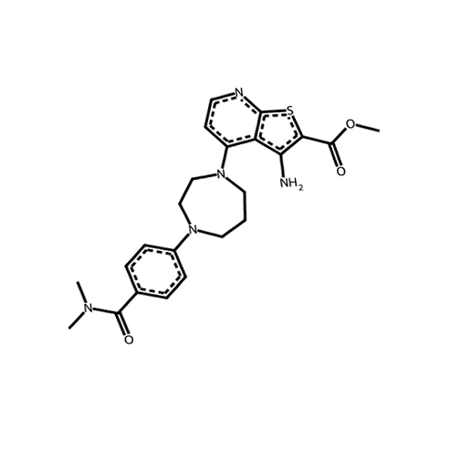 COC(=O)c1sc2nccc(N3CCCN(c4ccc(C(=O)N(C)C)cc4)CC3)c2c1N